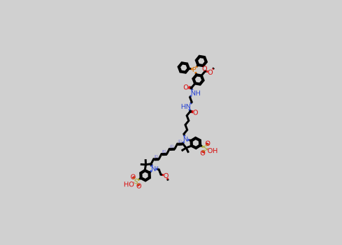 COCC[N+]1=C(/C=C/C=C/C=C/C=C2/N(CCCCCC(=O)NCCNC(=O)c3ccc(C(=O)OC)c(P(c4ccccc4)c4ccccc4)c3)c3ccc(S(=O)(=O)O)cc3C2(C)C)C(C)(C)c2cc(S(=O)(=O)O)ccc21